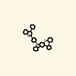 c1ccc(-c2cc(-c3ccc(-n4c5ccccc5c5cc6c(cc54)Sc4ccccc4-c4ccccc4-6)cc3)nc3ccccc23)cc1